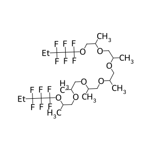 CCC(F)(F)C(F)(F)C(F)(F)OCC(C)OCC(C)OCC(C)OCC(C)OCC(C)OCC(C)OC(F)(F)C(F)(F)C(F)(F)CC